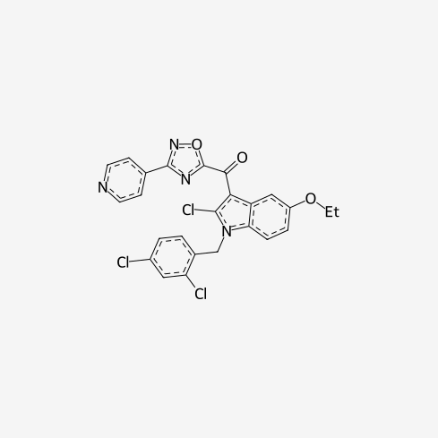 CCOc1ccc2c(c1)c(C(=O)c1nc(-c3ccncc3)no1)c(Cl)n2Cc1ccc(Cl)cc1Cl